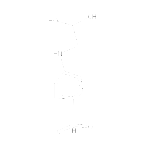 CC(O)CNc1[c]cc([SH](=O)=O)cc1